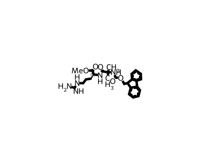 COC(=O)[C@H](CCCNC(=N)N)NC(=O)C(C)(C)NC(=O)OCC1c2ccccc2-c2ccccc21